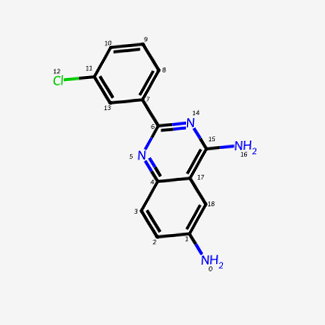 Nc1ccc2nc(-c3cccc(Cl)c3)nc(N)c2c1